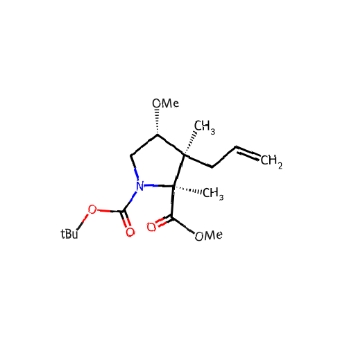 C=CC[C@]1(C)[C@@H](OC)CN(C(=O)OC(C)(C)C)[C@]1(C)C(=O)OC